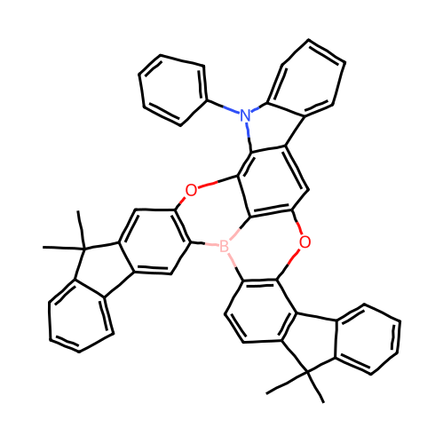 CC1(C)c2ccccc2-c2cc3c(cc21)Oc1c2c(cc4c5ccccc5n(-c5ccccc5)c14)Oc1c(ccc4c1-c1ccccc1C4(C)C)B32